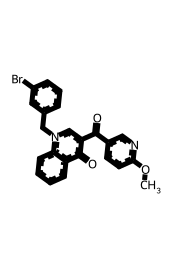 COc1ccc(C(=O)c2cn(Cc3cccc(Br)c3)c3ccccc3c2=O)cn1